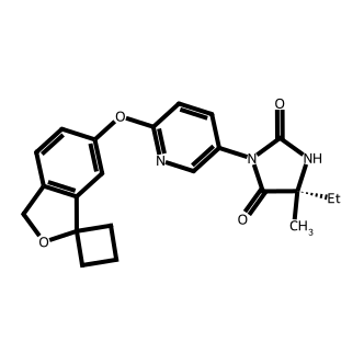 CC[C@@]1(C)NC(=O)N(c2ccc(Oc3ccc4c(c3)C3(CCC3)OC4)nc2)C1=O